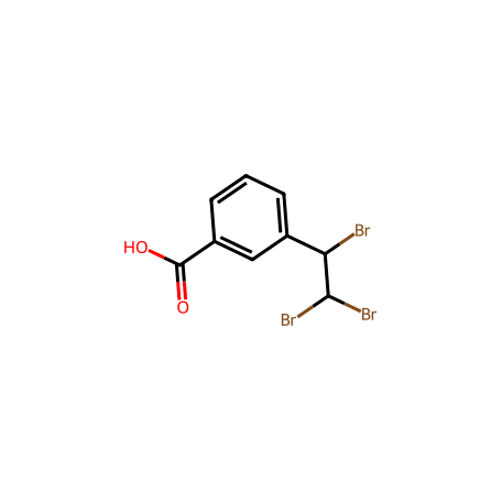 O=C(O)c1cccc(C(Br)C(Br)Br)c1